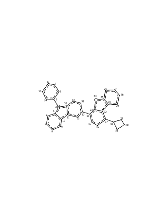 c1ccc(-n2c3ccccc3c3cc(-c4ccc(C5CCC5)c5c4oc4ccccc45)ccc32)cc1